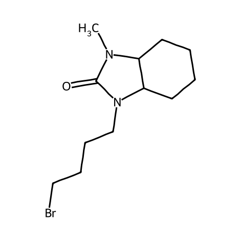 CN1C(=O)N(CCCCBr)C2CCCCC21